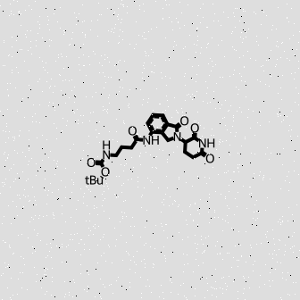 CC(C)(C)OC(=O)NCCCC(=O)Nc1cccc2c1CN(C1CCC(=O)NC1=O)C2=O